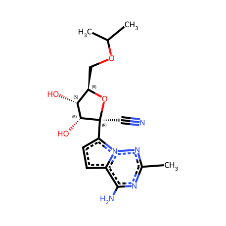 Cc1nc(N)c2ccc([C@]3(C#N)O[C@H](COC(C)C)[C@@H](O)[C@H]3O)n2n1